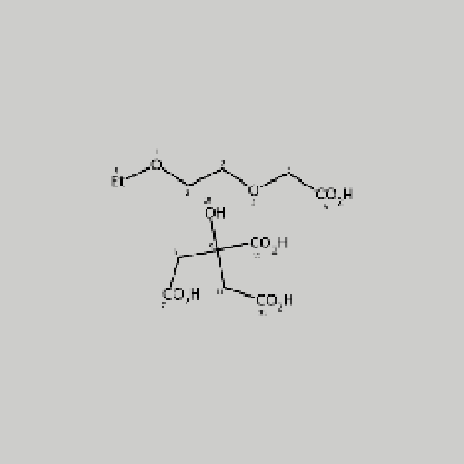 CCOCCOCC(=O)O.O=C(O)CC(O)(CC(=O)O)C(=O)O